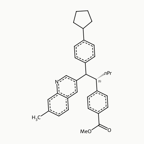 CCC[C@H](c1ccc(C(=O)OC)cc1)C(c1ccc(C2CCCC2)cc1)c1cnc2cc(C)ccc2c1